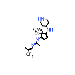 CC[C@]1(OC)C(N/C(C)=N/C=C(\C)C(F)(F)F)=CC=C1NC1CCNCC1